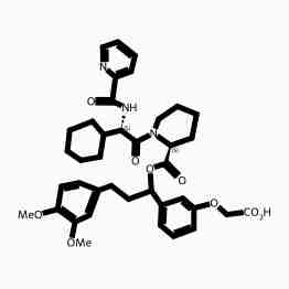 COc1ccc(CCC(OC(=O)[C@@H]2CCCCN2C(=O)[C@@H](NC(=O)c2ccccn2)C2CCCCC2)c2cccc(OCC(=O)O)c2)cc1OC